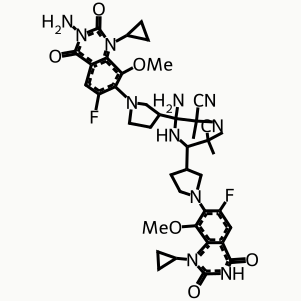 COc1c(N2CCC(C(NC(N)(C3CCN(c4c(F)cc5c(=O)n(N)c(=O)n(C6CC6)c5c4OC)C3)C(C)(C)C#N)C(C)(C)C#N)C2)c(F)cc2c(=O)[nH]c(=O)n(C3CC3)c12